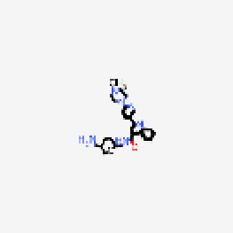 CN1CCN(c2ccc(-c3cc(C(=O)NCC4CCC(CN)CC4)c4ccccc4n3)cn2)CC1